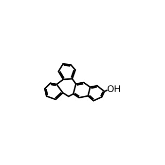 Oc1ccc2cc3c(cc2c1)-c1ccccc1-c1ccccc1C3